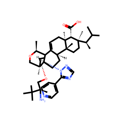 CC(C)[C@@H](C)[C@@]1(C)CC[C@]2(C)[C@H]3CC[C@H]4[C@@]5(C)CO[C@@H](C)[C@@]4(C[C@@H](n4ncnc4-c4ccncc4)[C@@H]5OC[C@](C)(N)C(C)(C)C)C3=CC[C@@]2(C)[C@@H]1C(=O)O